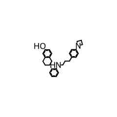 Oc1ccc2c(c1)CC[C@@H](c1ccccc1NCCCc1ccc(N3CCC3)cc1)C2